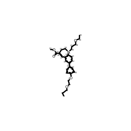 CCCOCCOc1ccc(-c2ccc3c(c2)C=C(C(=O)OC)CCN3CCCOCC)cc1